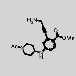 COC(=O)c1ccc(NC2CCN(C(C)=O)CC2)cc1C#CCN